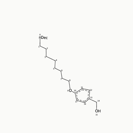 CCCCCCCCCCCCCCCCCCOc1ccc(CO)cc1